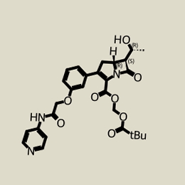 C[C@@H](O)[C@H]1C(=O)N2C(C(=O)OCOC(=O)C(C)(C)C)=C(c3cccc(OCC(=O)Nc4ccncc4)c3)C[C@H]12